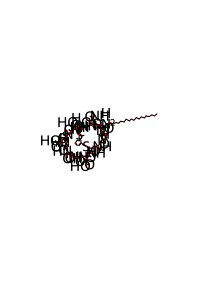 CCCCCCCCCCCCCCCCCCCC(=O)N[C@H]1C[C@H]2C(=O)N[C@@H](CCC(N)=O)C(=O)N[C@H]3CSCc4ccccc4CSC[C@H](NC(=O)[C@H](CCC(=O)O)NC(=O)CNC(=O)[C@H]([C@@H](C)O)NC(=O)[C@H](CCC(=O)O)NC(=O)[C@@H]4CCCN4C(=O)[C@H](CC(=O)O)NC3=O)C(=O)N[C@@H](CC(C)C)C(=O)N3CCC[C@@H]3C(=O)N2C1